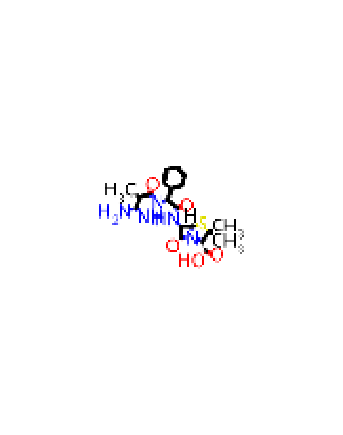 CC(C(=N)N)C(=O)NC(C(=O)N[C@@H]1C(=O)N2[C@@H]1SC(C)(C)[C@@H]2C(=O)O)c1ccccc1